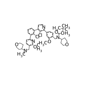 COc1cc(-c2nccc(-c3cccc(-c4ccc(CN(C)C5CCOCC5)c(OC)n4)c3Cl)c2Cl)ccc1CN(C(=O)OC(C)(C)C)C1CCOCC1